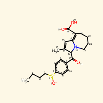 CCCC[S+]([O-])c1ccc(C(=O)C2C(C)=CC3=C(C(=O)O)CCCCN32)cc1